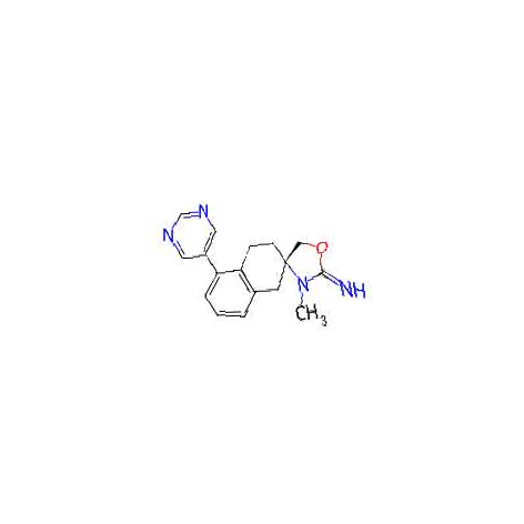 CN1C(=N)OC[C@@]12CCc1c(cccc1-c1cncnc1)C2